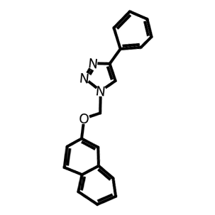 c1ccc(-c2cn(COc3ccc4ccccc4c3)nn2)cc1